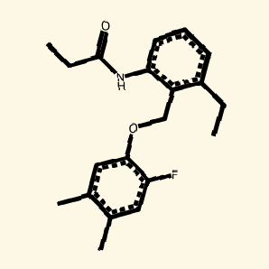 CCC(=O)Nc1cccc(CC)c1COc1cc(C)c(C)cc1F